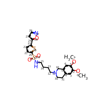 COc1cc2c(cc1OC)CN(CCCCNS(=O)(=O)c1ccc(-c3ccno3)s1)CC2